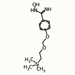 C[Si](C)(C)CCOCOc1ccc(C(=N)NO)cc1